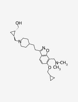 CN(C)Cc1c(OCC2CC2)ccc2c(CCC3CCN(C[C@H]4C[C@@H]4CO)CC3)noc12